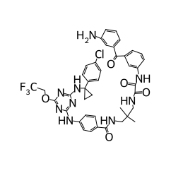 CC(C)(CNC(=O)C(=O)Nc1cccc(C(=O)c2cccc(N)c2)c1)CNC(=O)c1ccc(Nc2nc(NC3(c4ccc(Cl)cc4)CC3)nc(OCC(F)(F)F)n2)cc1